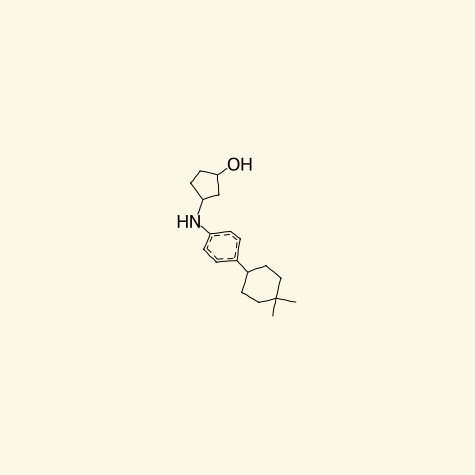 CC1(C)CCC(c2ccc(NC3CCC(O)C3)cc2)CC1